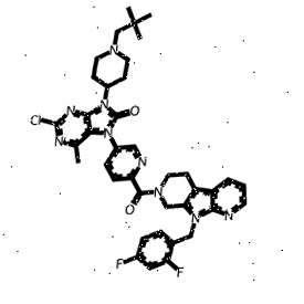 Cc1nc(Cl)nc2c1n(-c1ccc(C(=O)N3CCc4c(n(Cc5ccc(F)cc5F)c5ncccc45)C3)nc1)c(=O)n2C1CCN(CC(C)(C)C)CC1